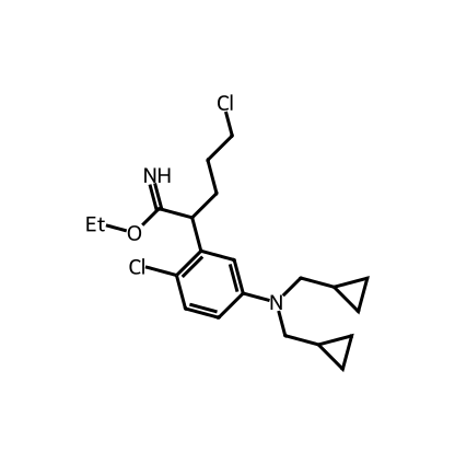 CCOC(=N)C(CCCCl)c1cc(N(CC2CC2)CC2CC2)ccc1Cl